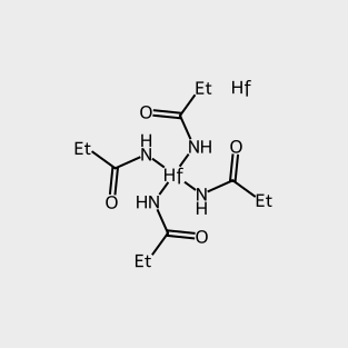 CCC(=O)[NH][Hf]([NH]C(=O)CC)([NH]C(=O)CC)[NH]C(=O)CC.[Hf]